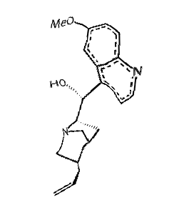 C=C[C@H]1CN2CC1C[C@H]2[C@H](O)c1ccnc2ccc(OC)cc12